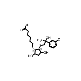 CC(O)(CS[C@H]1C(O)CC(O)[C@@H]1CCCCCCC(=O)O)c1cccc(Cl)c1